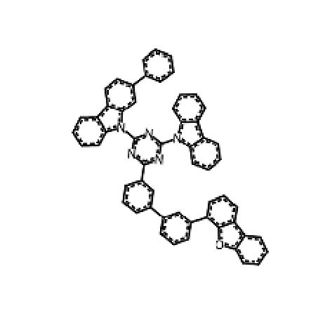 c1ccc(-c2ccc3c4ccccc4n(-c4nc(-c5cccc(-c6cccc(-c7cccc8c7oc7ccccc78)c6)c5)nc(-n5c6ccccc6c6ccccc65)n4)c3c2)cc1